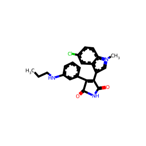 CCCNc1cccc(C2=C(c3cn(C)c4ccc(Cl)cc34)C(=O)NC2=O)c1